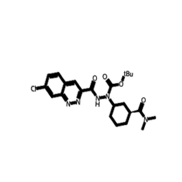 CN(C)C(=O)[C@H]1CCCC(N(NC(=O)c2cc3ccc(Cl)cc3nn2)C(=O)OC(C)(C)C)C1